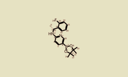 C[C@@H](Nc1ccc(B2OC(C)(C)C(C)(C)O2)cn1)c1ccccc1F